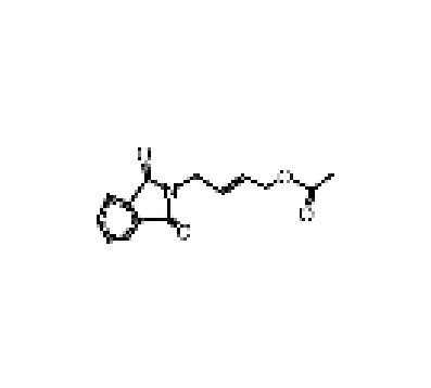 CC(=O)OCC=CCN1C(=O)c2ccccc2C1=O